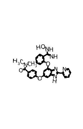 CN(C)C(=O)c1ccc(Oc2cc(Oc3ccccc3C(=N)NO)c3nc(-c4ccccn4)[nH]c3c2)cc1